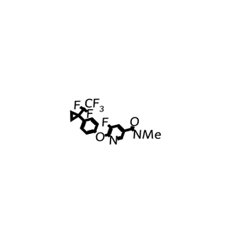 CNC(=O)c1cnc(Oc2ccc(C3(C(F)(F)C(F)(F)F)CC3)cc2)c(F)c1